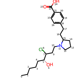 CCCCC[C@@H](O)C(Cl)CCN1CCCC1CCc1ccc(C(=O)O)cc1